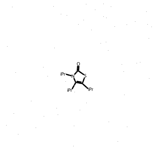 CC(C)c1sc(=O)n(C(C)C)c1C(C)C